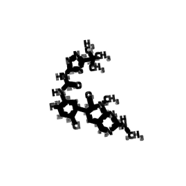 CNc1ncc2cc(-c3cc(NC(=O)Nc4nnc(C(C)(C)C)s4)c(F)cc3Cl)c(=O)n(C)c2n1